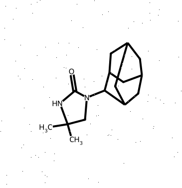 CC1(C)CN(C2C3CC4CC(C3)CC2C4)C(=O)N1